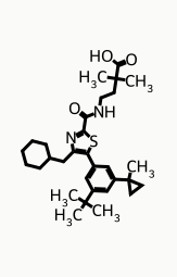 CC(C)(CCNC(=O)c1nc(CC2CCCCC2)c(-c2cc(C(C)(C)C)cc(C3(C)CC3)c2)s1)C(=O)O